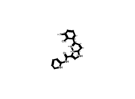 O=C(NC1=CC=CCN1)C1=CNC2C=CC(c3cccc(F)c3Cl)=NN12